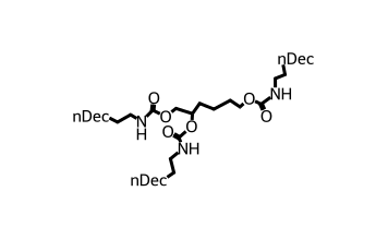 CCCCCCCCCCCCNC(=O)OCCCCC(COC(=O)NCCCCCCCCCCCC)OC(=O)NCCCCCCCCCCCC